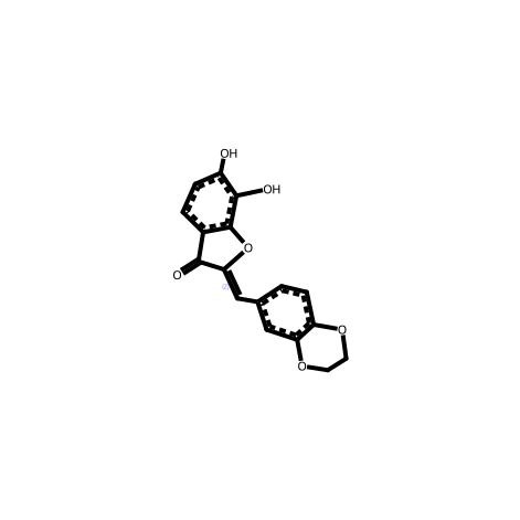 O=C1/C(=C/c2ccc3c(c2)OCCO3)Oc2c1ccc(O)c2O